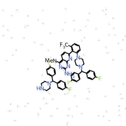 CNc1nc(N)nc2nc(-c3c(N4CCN(C(c5ccc(F)cc5)c5ccc(F)cc5)CC4)cccc3C(F)(F)F)ccc12.Fc1ccc(C(c2ccc(F)cc2)N2CCNCC2)cc1